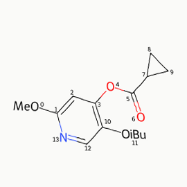 COc1cc(OC(=O)C2CC2)c(OCC(C)C)cn1